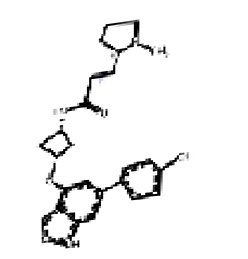 CN1CCC[C@@H]1/C=C/C(=O)N[C@H]1C[C@H](Oc2cc(-c3ccc(O)cc3)cc3[nH]ncc23)C1